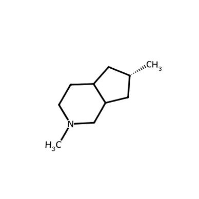 C[C@H]1CC2CCN(C)CC2C1